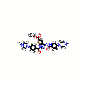 CN1CCN(c2ccc(C(=O)Nc3nn(C(=O)c4ccc(N5CCN(C)CC5)cc4)c4sc(C(=O)OC(C)(C)C)cc34)cc2)CC1